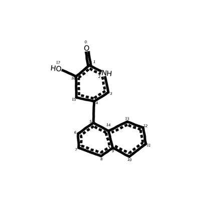 O=c1[nH]cc(-c2cccc3ccccc23)cc1O